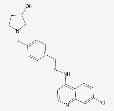 OC1CCN(Cc2ccc(C=NNc3ccnc4cc(Cl)ccc34)cc2)C1